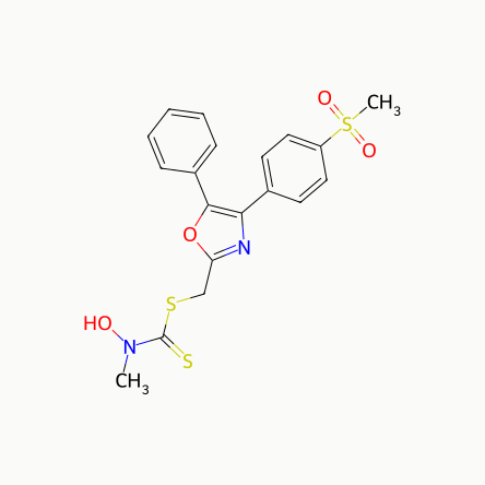 CN(O)C(=S)SCc1nc(-c2ccc(S(C)(=O)=O)cc2)c(-c2ccccc2)o1